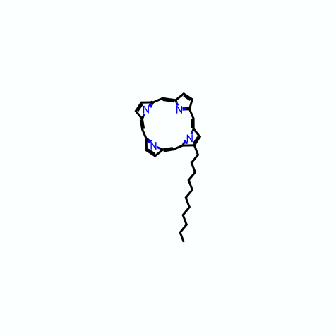 CCCCCCCCCCCC1=CC2=CC3=NC(=CC4=NC(=CC5=NC(=CC1=N2)C=C5)C=C4)C=C3